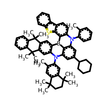 Cc1cc2c(cc1N1c3cc4c(cc3B3c5c1cc(C1CCCCC1)cc5N(c1ccccc1C)c1ccc5c(sc6ccccc65)c13)C(C)(C)c1ccccc1C4(C)C)C(C)(C)CCC2(C)C